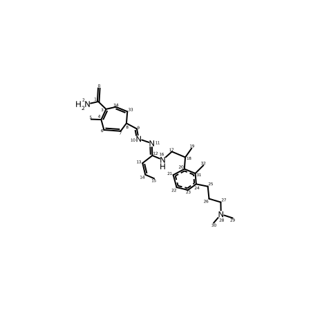 C=C(N)C1=C(C)C=CC(/C=N/N=C(\C=C/C)NCC(C)c2cccc(CCCN(C)C)c2C)C=C1